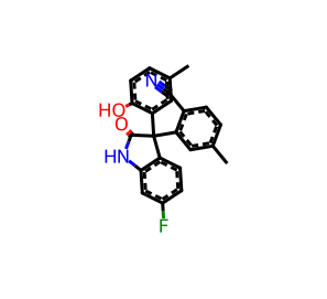 Cc1ccc(O)c(C2(c3cc(C)ccc3C#N)C(=O)Nc3cc(F)ccc32)c1